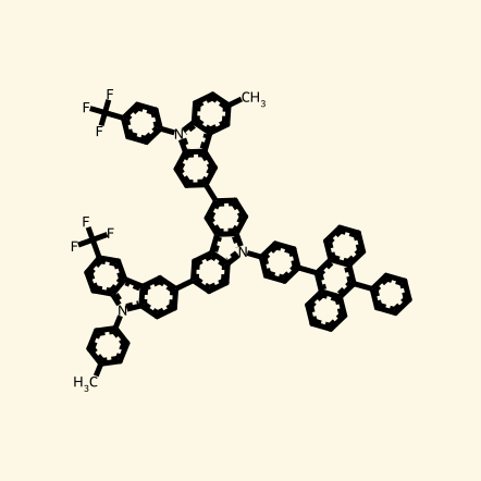 Cc1ccc(-n2c3ccc(-c4ccc5c(c4)c4cc(-c6ccc7c(c6)c6cc(C)ccc6n7-c6ccc(C(F)(F)F)cc6)ccc4n5-c4ccc(-c5c6ccccc6c(-c6ccccc6)c6ccccc56)cc4)cc3c3cc(C(F)(F)F)ccc32)cc1